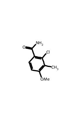 COc1ccc(C(N)=O)c(Cl)c1C